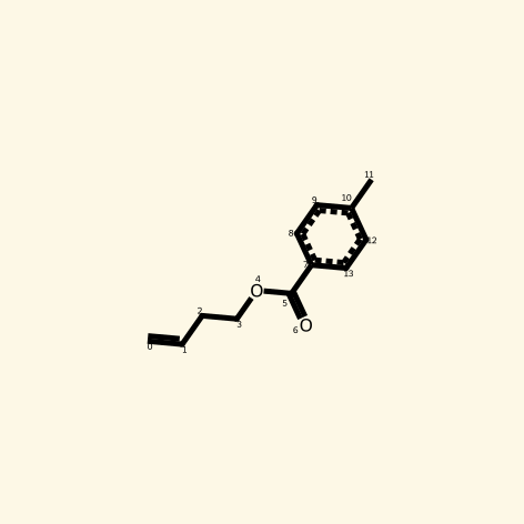 C=CCCOC(=O)c1ccc(C)cc1